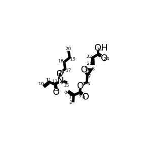 C=C(C)C(=O)OCC1CO1.C=CC(=O)N(C)OCCCC.C=CC(=O)O